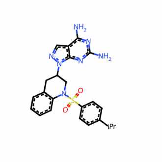 CC(C)c1ccc(S(=O)(=O)N2CC(n3ncc4c(N)nc(N)nc43)Cc3ccccc32)cc1